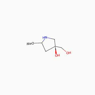 COC1C[C@@](O)(CO)CN1